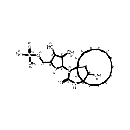 O=C1NC23CCCCCCCCCCCC(CC2O)(C3)N1C1OC(COP(=O)(O)O)C(O)C1O